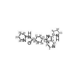 C[N+]12C=CN=CC1=C(C1CCCN1)N=C2c1ccc(C(=O)Nc2ccccn2)cc1